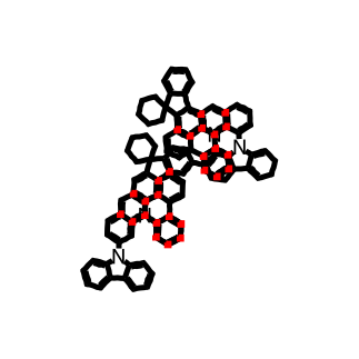 C1=c2c(n(-c3ccccc3N(c3ccc4c(c3)-c3ccccc3C43CCCCC3)c3ccccc3-c3ccccc3-c3ccccc3-c3ccccc3)c3cc(-c4ccc5c(c4)-c4cc(N(c6cccc(-n7c8ccccc8c8ccccc87)c6)c6ccccc6-c6ccccc6-c6ccccc6-c6ccccc6)ccc4C54CCCCC4)ccc23)=CCC1